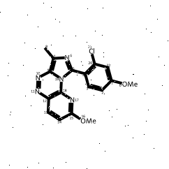 COc1ccc(-c2nc(C)c3nnc4ccc(OC)nc4n23)c(Cl)c1